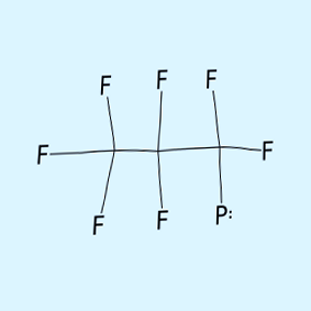 FC(F)(F)C(F)(F)C(F)(F)[P]